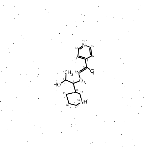 CC(O)C(ON=C(Cl)c1ccncc1)C1CCCNC1